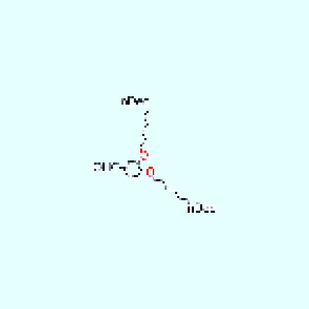 CCCCCCCCCCCCCCCCOc1ccc(C=O)cc1OCCCCCCCCCCCCCCCC